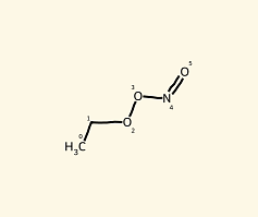 CCOON=O